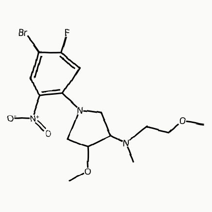 COCCN(C)C1CN(c2cc(F)c(Br)cc2[N+](=O)[O-])CC1OC